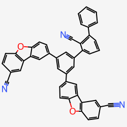 N#Cc1ccc2oc3ccc(-c4cc(-c5ccc6oc7ccc(C#N)cc7c6c5)cc(-c5cccc(-c6ccccc6)c5C#N)c4)cc3c2c1